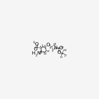 COC(=O)c1cc(OC2CN(C(=O)OC(C)(C)C)C2)ccc1N